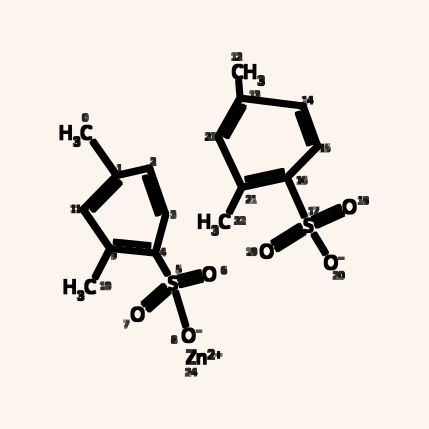 Cc1ccc(S(=O)(=O)[O-])c(C)c1.Cc1ccc(S(=O)(=O)[O-])c(C)c1.[Zn+2]